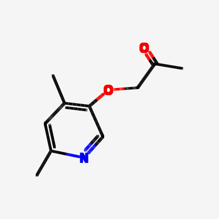 CC(=O)COc1cnc(C)cc1C